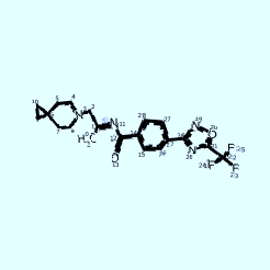 C/C(CN1CCC2(CC1)CC2)=N\C(=O)c1ccc(-c2noc(C(F)(F)F)n2)cc1